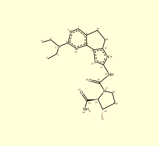 CCN(CC)c1ncc2c(n1)-c1sc(NC(=O)N3CC[C@H](C)[C@H]3C(N)=O)nc1CC2